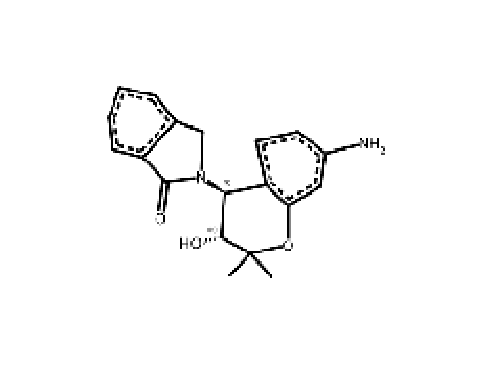 CC1(C)Oc2cc(N)ccc2[C@H](N2Cc3ccccc3C2=O)[C@H]1O